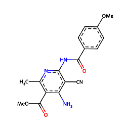 COC(=O)c1c(C)nc(NC(=O)c2ccc(OC)cc2)c(C#N)c1N